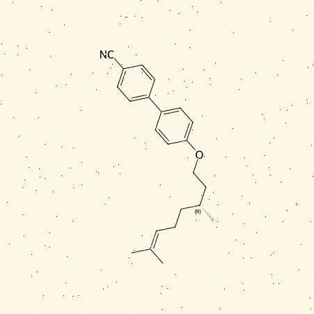 CC(C)=CCC[C@@H](C)CCOc1ccc(-c2ccc(C#N)cc2)cc1